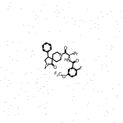 CC(C)[C@@H](NC(=O)c1cc(OC(F)(F)F)ccc1F)C(=O)N1CCC2(CC1)C(=O)N(C)CC2c1ccccc1